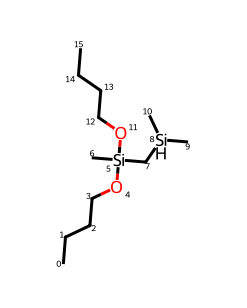 CCCCO[Si](C)(C[SiH](C)C)OCCCC